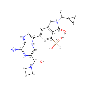 CC(C1CC1)N1Cc2cc(-c3cnc4c(N)nc(C(=O)N5CCC5)cn34)cc(S(C)(=O)=O)c2C1=O